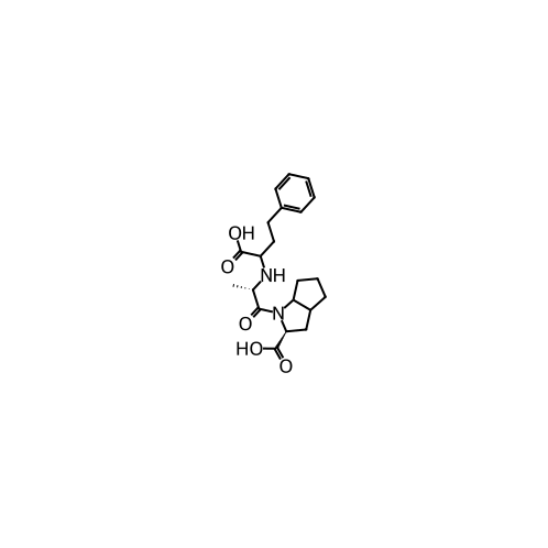 C[C@H](NC(CCc1ccccc1)C(=O)O)C(=O)N1C2CCCC2C[C@H]1C(=O)O